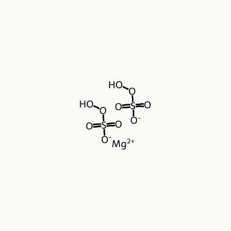 O=S(=O)([O-])OO.O=S(=O)([O-])OO.[Mg+2]